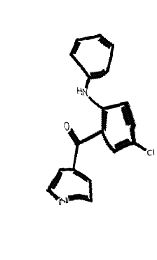 O=C(c1ccncc1)c1cc(Cl)ccc1Nc1ccccc1